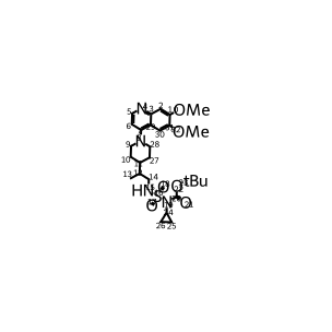 COc1cc2nccc(N3CCC(C(C)CNS(=O)(=O)N(C(=O)OC(C)(C)C)C4CC4)CC3)c2cc1OC